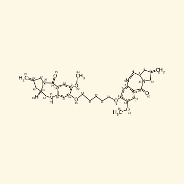 C=C1CC2C=Nc3cc(OCCCCCOc4cc5c(cc4OC)C(=O)N4CC(=C)C[C@H]4CN5)c(OC)cc3C(=O)N2C1